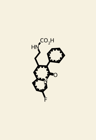 O=C(O)NCCc1cc2ccc(F)cn2c(=O)c1-c1ccccc1